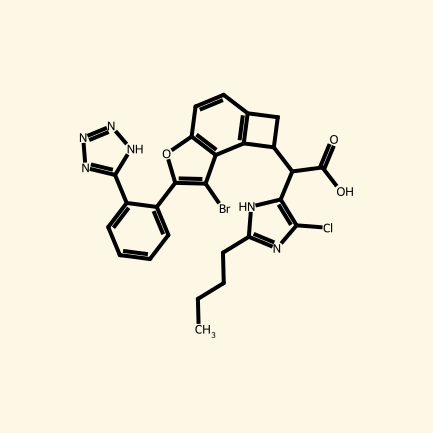 CCCCc1nc(Cl)c(C(C(=O)O)C2Cc3ccc4oc(-c5ccccc5-c5nnn[nH]5)c(Br)c4c32)[nH]1